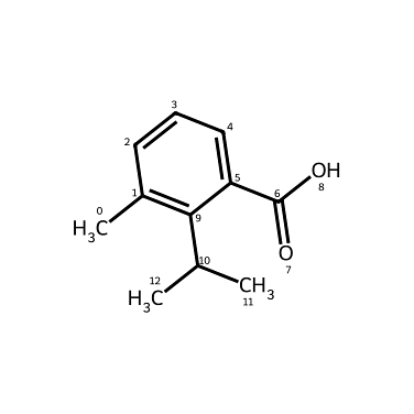 Cc1cccc(C(=O)O)c1C(C)C